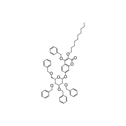 CCCCCCCCCCOc1c(OCc2ccccc2)c2ccc(O[C@@H]3O[C@H](COCc4ccccc4)[C@@H](OCc4ccccc4)[C@H](OCc4ccccc4)[C@H]3OCc3ccccc3)cc2oc1=O